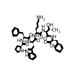 C[C@@H](O)[C@H](NC(=O)[C@H](CCCCN)NC(=O)[C@H](Cc1c[nH]c2ccccc12)NC(=O)[C@H](Cc1ccccc1)NC(=O)[C@@H]1CCCN1)C(=O)N[C@@H](Cc1ccccc1)C(=O)O